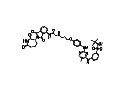 Cc1cnc(Nc2ccc(OCCCNCC(=O)Nc3cccc4c3C(=O)N(C3CCCC(=O)NC3=O)C4=O)cc2)nc1Nc1cccc(S(=O)(=O)NC(C)(C)C)c1